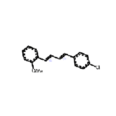 COc1ccccc1/C=C/C=C/c1ccc(Cl)cc1